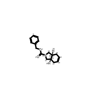 O=C(OCc1ccccc1)N1C[C@H]2CC=CC[C@H]2C1